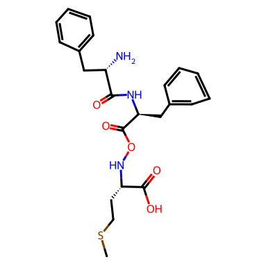 CSCC[C@H](NOC(=O)[C@H](Cc1ccccc1)NC(=O)[C@@H](N)Cc1ccccc1)C(=O)O